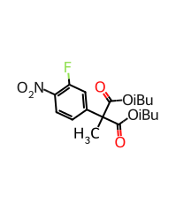 CC(C)COC(=O)C(C)(C(=O)OCC(C)C)c1ccc([N+](=O)[O-])c(F)c1